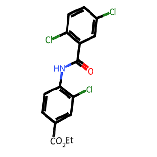 CCOC(=O)c1ccc(NC(=O)c2cc(Cl)ccc2Cl)c(Cl)c1